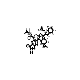 O=C(NC1CC1)C(=O)C(CC1CCNC1=O)NC(=O)C1CC2(CCN1C(=O)c1cc3ccccc3n1C1CC1)CC2